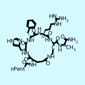 CCCCCC(=O)N[C@H]1CCC(=O)NCCC(C(=O)N[C@@H](C)C(N)=O)NC(=O)[C@H](CCCNC(=N)N)NC(=O)[C@@H](Cc2ccccc2)NC(=O)[C@H](Cc2c[nH]cn2)NC1=O